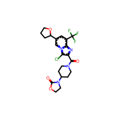 O=C(c1nc2c(C(F)(F)F)cc(C3CCCO3)cn2c1Cl)N1CCC(N2CCOC2=O)CC1